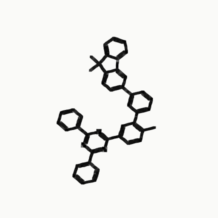 Cc1ccc(-c2nc(-c3ccccc3)nc(-c3ccccc3)n2)cc1-c1cccc(-c2ccc3c(c2)-c2ccccc2C3(C)C)c1